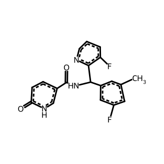 Cc1cc(F)cc(C(NC(=O)c2ccc(=O)[nH]c2)c2ncccc2F)c1